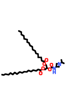 CCCCCCCCCCCCCCCCCC(=O)OCC(COC(=O)CCCCCCCCCCCCCCCCC)OC(=O)NC1CN(C(C)C)C1